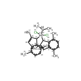 CCCCC1=Cc2c(C)ccc(C)c2[CH]1[Hf]([Cl])([Cl])([CH]1C(CCCC)=Cc2c(C)ccc(C)c21)[SiH](C)C